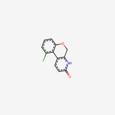 O=c1ccc2c([nH]1)COc1cccc(F)c1-2